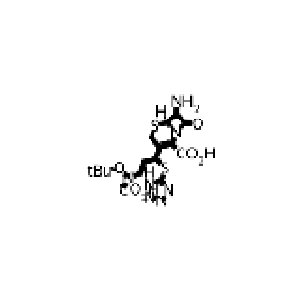 CC(C)(C)ON(CCC(Sc1nnn[nH]1)C1=C(C(=O)O)N2C(=O)C(N)[C@@H]2SC1)C(=O)O